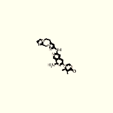 Cc1c(C)n(-c2cc3cc(Nc4cc5n(n4)Cc4nccn4CC5)ncc3c(N)n2)cnc1=O